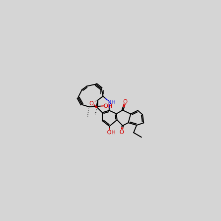 CCc1cccc2c1C(=O)c1c(O)cc3c(c1C2=O)N[C@H]1C#C/C=C\C#C[C@@H](C)[C@@]32O[C@@]12[C@@H](C)O